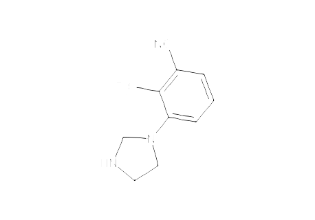 N#Cc1cccc(N2CCNC2)c1C(F)(F)F